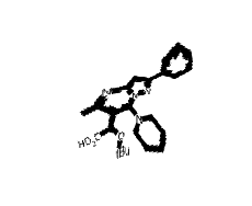 Cc1nc2cc(-c3ccccc3)nn2c(N2CCCCC2)c1C(OC(C)(C)C)C(=O)O